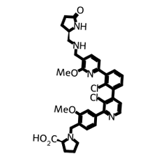 COc1cc(-c2nccc(-c3cccc(-c4ccc(CNC[C@H]5CCC(=O)N5)c(OC)n4)c3Cl)c2Cl)ccc1CN1CCC[C@H]1C(=O)O